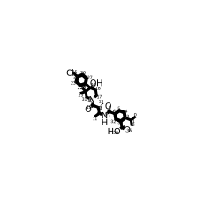 CC(C)c1ccc(C(=O)NC(C)[C@@H](C)C(=O)N2CC[C@](O)(c3ccc(Cl)cc3)C(C)(C)C2)cc1C(=O)O